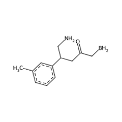 BCC(=O)CC(CN)c1cccc(C)c1